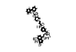 C[C@H](NC[C@@H](O)c1ccc(O)c2[nH]c(=O)ccc12)c1ccc(NC(=O)CCN2CCC(OC(=O)Nc3ccccc3-c3ccccc3)CC2)cc1